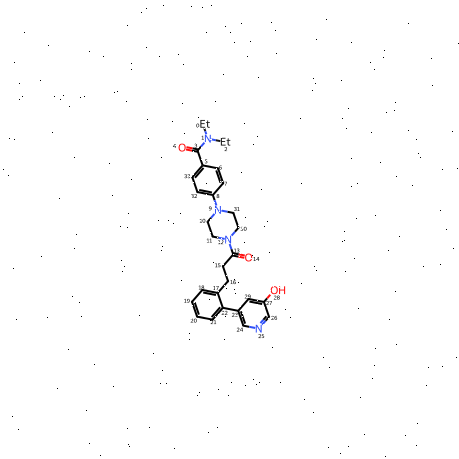 CCN(CC)C(=O)c1ccc(N2CCN(C(=O)CCc3ccccc3-c3cncc(O)c3)CC2)cc1